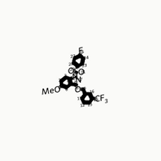 COc1ccc2c(c1)c(OCc1cccc(C(F)(F)F)c1)nn2S(=O)(=O)c1ccc(F)cc1